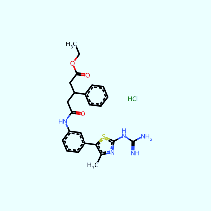 CCOC(=O)CC(CC(=O)Nc1cccc(-c2sc(NC(=N)N)nc2C)c1)c1ccccc1.Cl